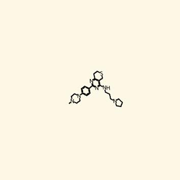 CN1CCN(c2ccc(-c3nc4c(c(NCCCN5CCCC5)n3)CSCC4)cc2)CC1